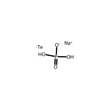 O=P([O-])(O)O.[Na+].[Te]